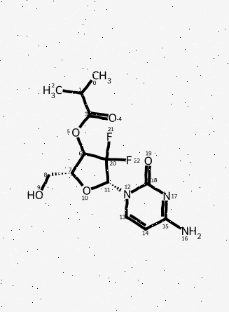 CC(C)C(=O)OC1[C@@H](CO)O[C@@H](n2ccc(N)nc2=O)C1(F)F